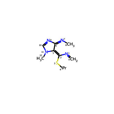 C=N/C(SC(C)C)=C1\C(=N/C)N=CN1C